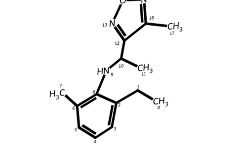 CCc1cccc(C)c1NC(C)c1nonc1C